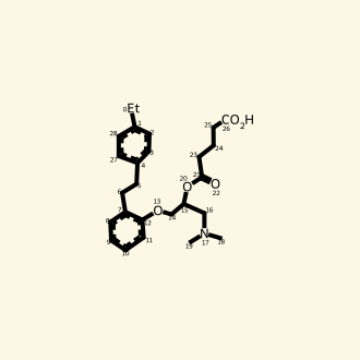 CCc1ccc(CCc2ccccc2OCC(CN(C)C)OC(=O)CCCC(=O)O)cc1